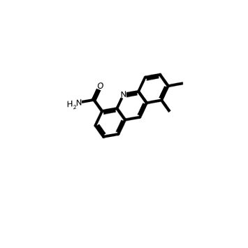 Cc1ccc2nc3c(C(N)=O)cccc3cc2c1C